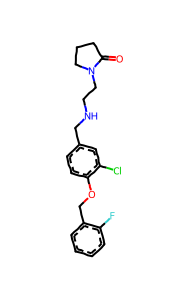 O=C1CCCN1CCNCc1ccc(OCc2ccccc2F)c(Cl)c1